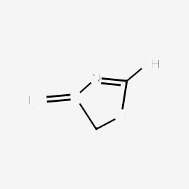 C=S1COC(C)=N1